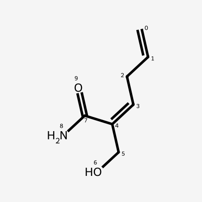 C=CC/C=C(/CO)C(N)=O